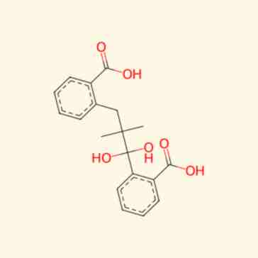 CC(C)(Cc1ccccc1C(=O)O)C(O)(O)c1ccccc1C(=O)O